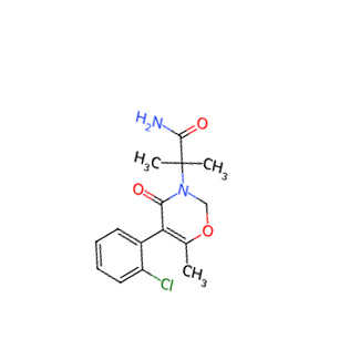 CC1=C(c2ccccc2Cl)C(=O)N(C(C)(C)C(N)=O)CO1